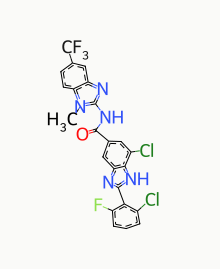 Cn1c(NC(=O)c2cc(Cl)c3[nH]c(-c4c(F)cccc4Cl)nc3c2)nc2cc(C(F)(F)F)ccc21